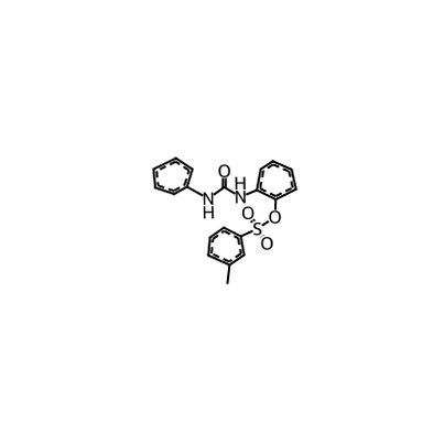 Cc1cccc(S(=O)(=O)Oc2ccccc2NC(=O)Nc2ccccc2)c1